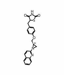 O=C1NC(=O)C(Cc2ccc(OC[C@H]3CN3c3ccc4ccccc4n3)cc2)S1